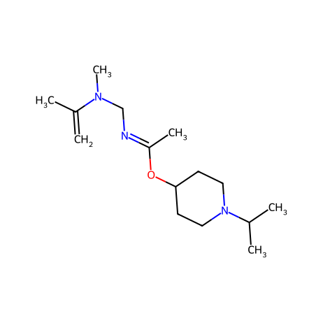 C=C(C)N(C)C/N=C(\C)OC1CCN(C(C)C)CC1